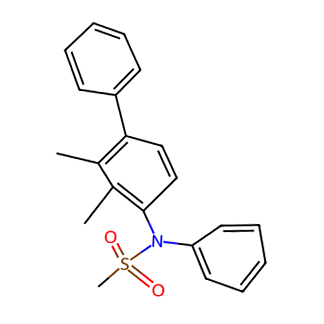 Cc1c(-c2ccccc2)ccc(N(c2ccccc2)S(C)(=O)=O)c1C